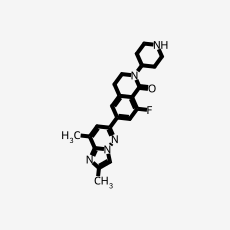 Cc1cn2nc(-c3cc(F)c4c(c3)CCN(C3CCNCC3)C4=O)cc(C)c2n1